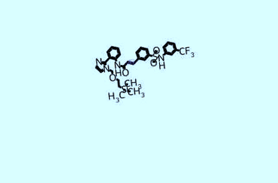 C[Si](C)(C)CCOCn1ccnc1-c1ccccc1NC(=O)/C=C/c1cccc(S(=O)(=O)Nc2cccc(C(F)(F)F)c2)c1